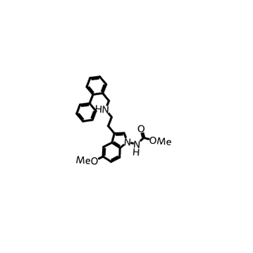 COC(=O)Nn1cc(CCNCc2ccccc2-c2ccccc2)c2cc(OC)ccc21